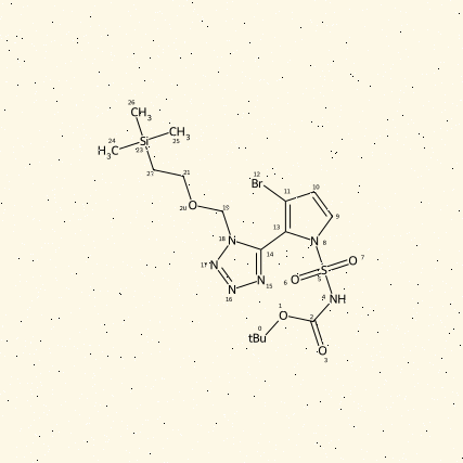 CC(C)(C)OC(=O)NS(=O)(=O)n1ccc(Br)c1-c1nnnn1COCC[Si](C)(C)C